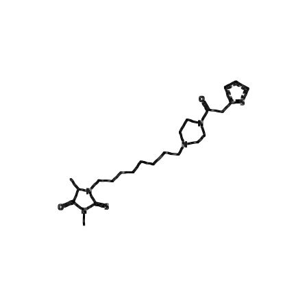 CC1C(=O)N(C)C(=S)N1CCCCCCCCN1CCN(C(=O)Cc2cccs2)CC1